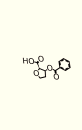 O=C(O[C@H]1CCO[C@H]1C(=O)O)c1ccccc1